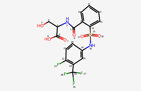 O=C(NC(CO)C(=O)O)c1ccccc1S(=O)(=O)Nc1ccc(F)c(C(F)(F)F)c1